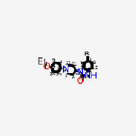 CCO[C@H]1CC[C@H](N2CCC(n3c(=O)[nH]c4ccc(C)cc43)CC2)CC1